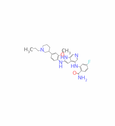 CCCN1CCCC(c2ccc(Nc3cc4c(Nc5cc(F)ccc5C(N)=O)cncc4[nH]3)c(OC)c2)C1